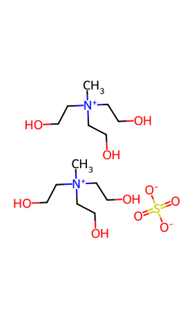 C[N+](CCO)(CCO)CCO.C[N+](CCO)(CCO)CCO.O=S(=O)([O-])[O-]